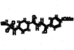 COc1ccc(C(=O)NNC(=O)[C@H]2CC[C@H](NS(=O)(=O)C(C)(C)C)CC2)cc1